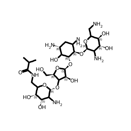 CC(C)C(=O)NCC1O[C@H](OC2[C@@H](CO)O[C@@H](O[C@@H]3C(O)[C@H](N)CC(N)[C@H]3O[C@H]3OC(CN)[C@@H](O)[C@H](O)C3N)[C@H]2O)C(N)[C@H](O)[C@@H]1O